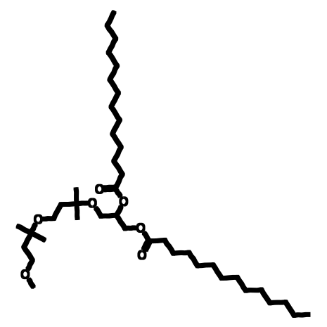 CCCCCCCCCCCCCC(=O)OCC(COC(C)(C)CCOC(C)(C)CCOC)OC(=O)CCCCCCCCCCCCC